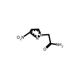 NC(=O)Cn1ccc([N+](=O)[O-])n1